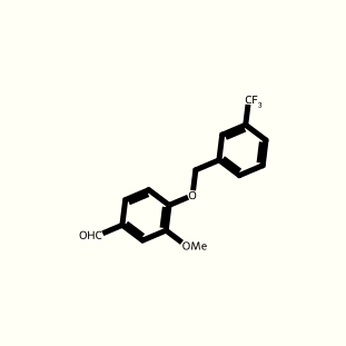 COc1cc(C=O)ccc1OCc1cccc(C(F)(F)F)c1